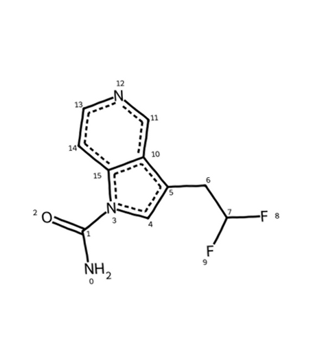 NC(=O)n1cc(CC(F)F)c2cnccc21